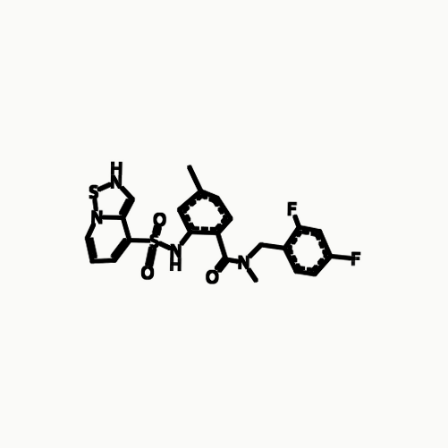 Cc1ccc(C(=O)N(C)Cc2ccc(F)cc2F)c(NS(=O)(=O)C2=CC=CN3SNC=C23)c1